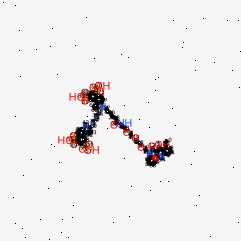 CCc1cccc2c1c(O)c(C(=O)N(CCOCCOCCOCCNC(=O)CCCCCN1/C(=C/C=C/C=C/C3=[N+](C)c4ccc5c(S(=O)(=O)O)cc(S(=O)(=O)O)cc5c4C3(C)C)C(C)(C)c3c1ccc1c(S(=O)(=O)O)cc(S(=O)(=O)O)cc31)c1ccccc1)c(=O)n2C